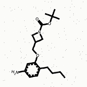 CCCCc1ccc(N)cc1OCC1CN(C(=O)OC(C)(C)C)C1